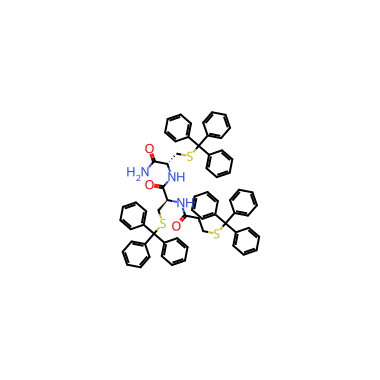 NC(=O)[C@H](CSC(c1ccccc1)(c1ccccc1)c1ccccc1)NC(=O)[C@H](CSC(c1ccccc1)(c1ccccc1)c1ccccc1)NC(=O)[CH]CSC(c1ccccc1)(c1ccccc1)c1ccccc1